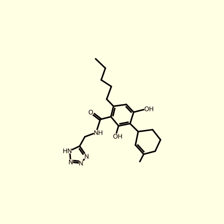 CCCCCc1cc(O)c(C2C=C(C)CCC2)c(O)c1C(=O)NCc1nnn[nH]1